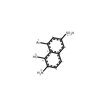 CC(=O)c1cc(S(=O)(=O)O)cc2ccc(N)c(O)c12